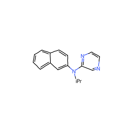 CC(C)N(c1ccc2ccccc2c1)c1cnccn1